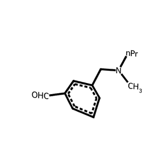 CCCN(C)Cc1cccc(C=O)c1